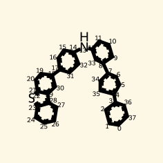 c1ccc(-c2ccc(-c3cccc(Nc4ccc(-c5ccc6sc7ccccc7c6c5)cc4)c3)cc2)cc1